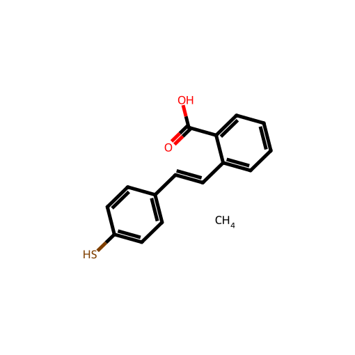 C.O=C(O)c1ccccc1C=Cc1ccc(S)cc1